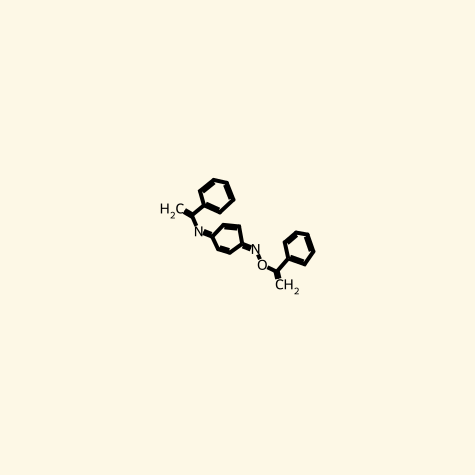 C=C(N=C1C=CC(=NOC(=C)c2ccccc2)C=C1)c1ccccc1